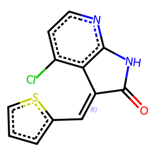 O=C1Nc2nccc(Cl)c2/C1=C\c1cccs1